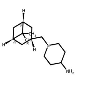 CC1(C)[C@@H]2C[C@@H](CN3CCC(N)CC3)C[C@H]1C2